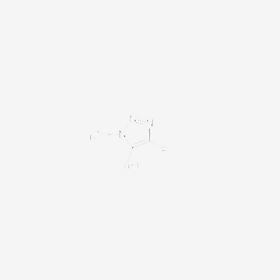 CCCc1c(F)nnn1CCC